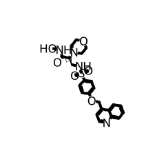 O=C(NO)[C@H](CNS(=O)(=O)c1ccc(OCc2ccnc3ccccc23)cc1)N1CCOCC1